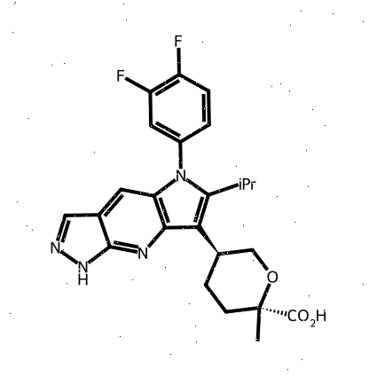 CC(C)c1c([C@@H]2CC[C@@](C)(C(=O)O)OC2)c2nc3[nH]ncc3cc2n1-c1ccc(F)c(F)c1